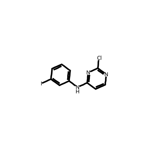 Clc1nccc(Nc2cccc(I)c2)n1